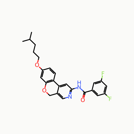 CC(C)CCCOc1ccc2c(c1)OCc1cnc(NC(=O)c3cc(F)cc(F)c3)cc1-2